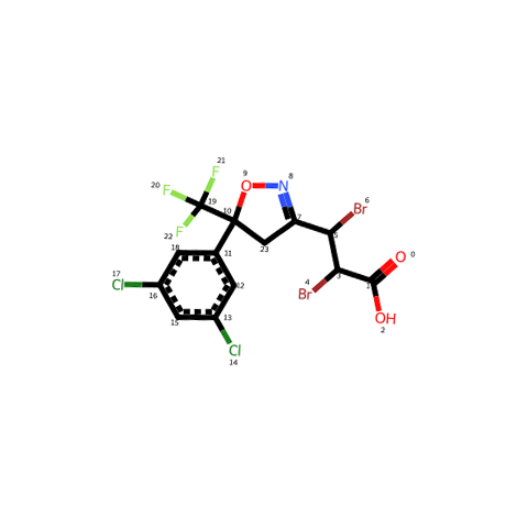 O=C(O)C(Br)C(Br)C1=NOC(c2cc(Cl)cc(Cl)c2)(C(F)(F)F)C1